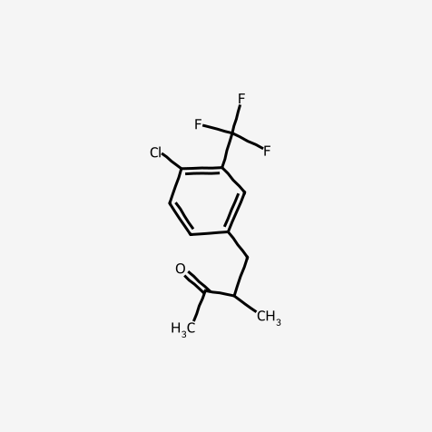 CC(=O)C(C)Cc1ccc(Cl)c(C(F)(F)F)c1